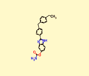 CCc1ccc(Cc2ccc(-c3nc4cc(OC(N)=O)ccc4[nH]3)cc2)cc1